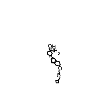 N[C@]1(CO)CC[C@H](c2ccc3c(c2)CCC(OCCOCC2CCC2)C3)C1